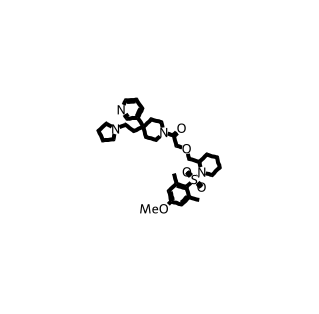 COc1cc(C)c(S(=O)(=O)N2CCCCC2COCC(=O)N2CCC(CCN3CCCC3)(c3cccnc3)CC2)c(C)c1